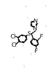 Fc1ccc(C(Cn2ccnc2)Sc2ccc(Cl)c(Cl)c2)c(F)c1